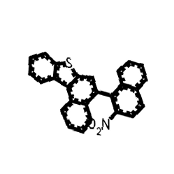 O=[N+]([O-])c1ccc2ccccc2c1-c1cc2sc3ccccc3c2c2ccccc12